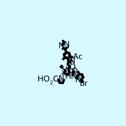 C#C[C@@H]1[C@@H](CN2CCC[C@H]2C(=O)O)C[C@@H](C(=O)Nc2nc(Br)ccc2C)N1C(=O)Cn1nc(C(C)=O)c2cc(-c3cnc(C)nc3)cc(C)c21